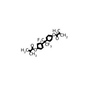 C=C(C)C(=O)Oc1ccc(C(c2ccc(OC(=O)C(=C)C)cc2)(C(F)(F)F)C(F)(F)F)cc1